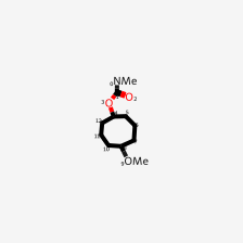 CNC(=O)OC1CCCC(OC)CCC1